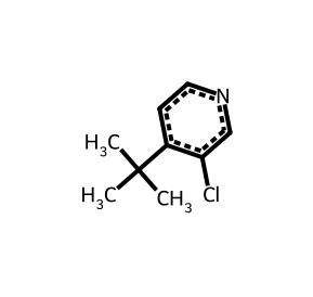 CC(C)(C)c1ccncc1Cl